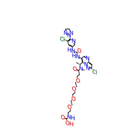 C[C@@H](c1c(NC(=O)Nc2cnc(-n3nccn3)c(Cl)c2)cnc2cc(Cl)nn12)N(C)C(=O)CCOCCOCCOCCOCCNC(=O)O